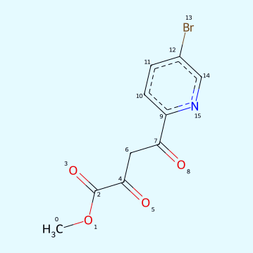 COC(=O)C(=O)CC(=O)c1ccc(Br)cn1